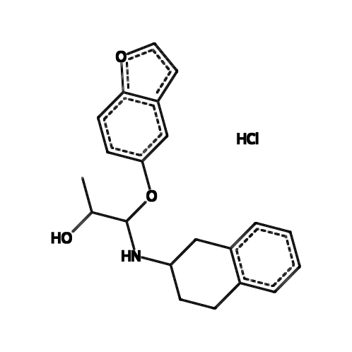 CC(O)C(NC1CCc2ccccc2C1)Oc1ccc2occc2c1.Cl